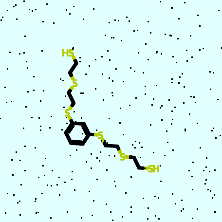 SCCSCCSc1cccc(SCCSCCS)c1